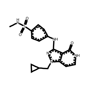 CNS(=O)(=O)c1ccc(Nc2nn(CC3CC3)c3cc[nH]c(=O)c23)cc1